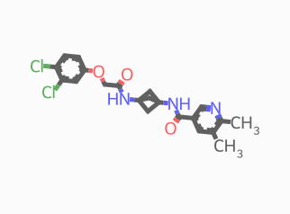 Cc1cc(C(=O)NC23CC(NC(=O)COc4ccc(Cl)c(Cl)c4)(C2)C3)cnc1C